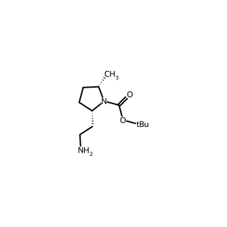 C[C@H]1CC[C@@H](CCN)N1C(=O)OC(C)(C)C